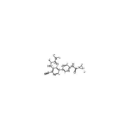 C[C@H](Nc1cc(-c2cnc(NC(=O)[C@H]3C[C@@H]3C)cn2)cnc1C#N)C(=O)N(C)C